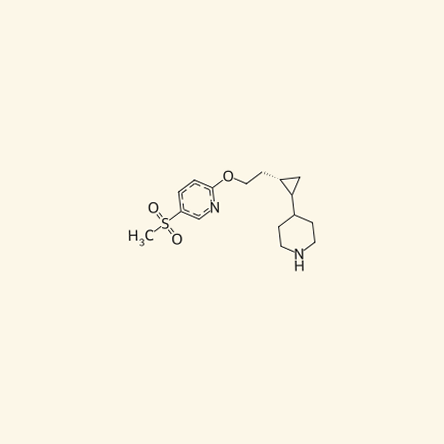 CS(=O)(=O)c1ccc(OCC[C@@H]2CC2C2CCNCC2)nc1